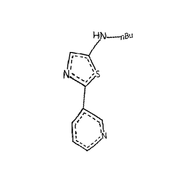 CCCCNc1cnc(-c2cccnc2)s1